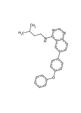 CC(C)CCNc1ncnc2ccc(-c3ccc(Oc4ccccc4)cc3)cc12